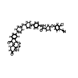 N#Cc1ccc(OC2CCC(C(=O)Nc3ccc(N4CCC(CN5CCN(c6ccc7c(c6)C(=O)N(C6CCC(=O)NC6=O)C7=O)CC5)CC4)cc3)C2)cc1Cl